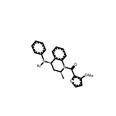 COc1ccsc1C(=O)N1c2ccccc2[C@H](N(C(C)=O)c2ccccc2)C[C@@H]1C